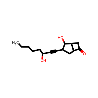 CCCCCC(O)C#CC1CC2C(=O)CC2C1O